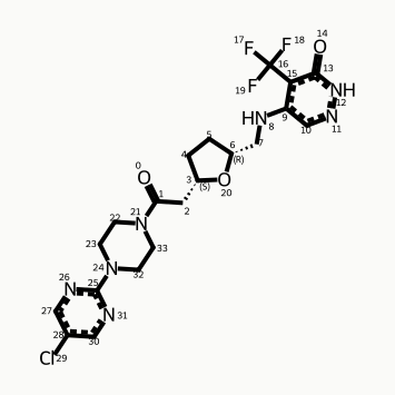 O=C(C[C@@H]1CC[C@H](CNc2cn[nH]c(=O)c2C(F)(F)F)O1)N1CCN(c2ncc(Cl)cn2)CC1